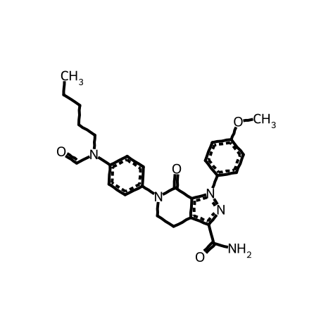 CCCCCN(C=O)c1ccc(N2CCc3c(C(N)=O)nn(-c4ccc(OC)cc4)c3C2=O)cc1